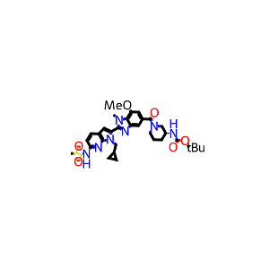 COc1cc(C(=O)N2CCC[C@@H](NC(=O)OC(C)(C)C)C2)cc2nc(-c3cc4ccc(NS(C)(=O)=O)nc4n3CC3CC3)n(C)c12